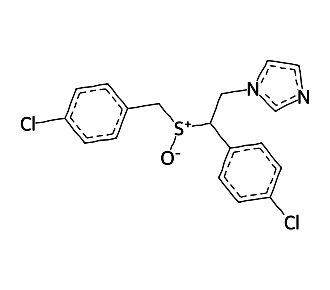 [O-][S+](Cc1ccc(Cl)cc1)C(Cn1ccnc1)c1ccc(Cl)cc1